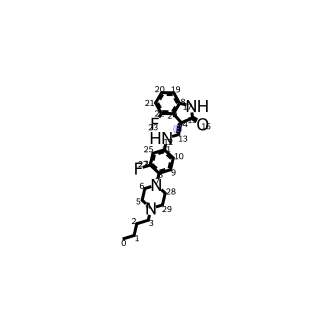 CCCCN1CCN(c2ccc(N/C=C3/C(=O)Nc4cccc(F)c43)cc2F)CC1